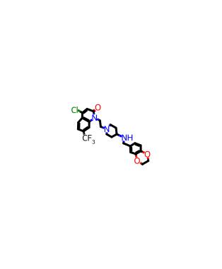 O=c1cc(Cl)c2ccc(C(F)(F)F)cc2n1CCN1CCC(NCc2ccc3c(c2)OCCO3)CC1